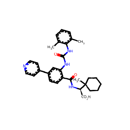 Cc1cccc(C)c1NC(=O)Nc1cc(-c2ccncc2)ccc1C(=O)N[C@H](C(=O)O)C1(C)CCCCC1